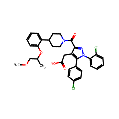 COCC(C)Oc1ccccc1C1CCN(C(=O)c2nn(-c3ccccc3Cl)c(-c3ccc(Cl)cc3)c2CC(=O)O)CC1